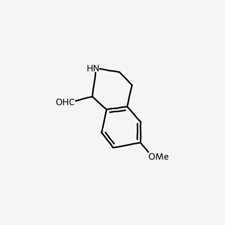 COc1ccc2c(c1)CCNC2C=O